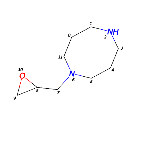 C1CNCCCN(CC2CO2)C1